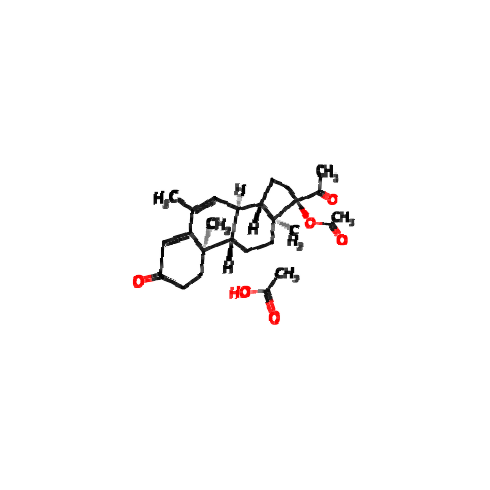 CC(=O)O.CC(=O)O[C@]1(C(C)=O)CC[C@H]2[C@@H]3C=C(C)C4=CC(=O)CC[C@]4(C)[C@H]3CC[C@@]21C